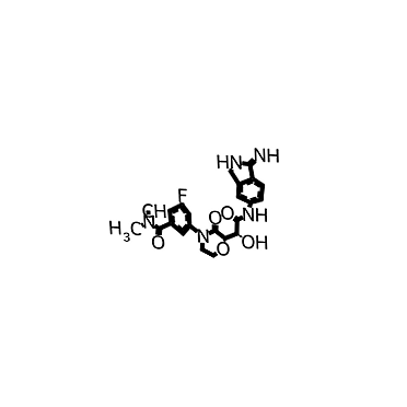 CN(C)C(=O)c1cc(F)cc(N2CCO[C@H]([C@@H](O)C(=O)Nc3ccc4c(c3)CNC4=N)C2=O)c1